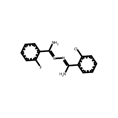 N/C(=N\N=C(/N)c1ccccc1Cl)c1ccccc1F